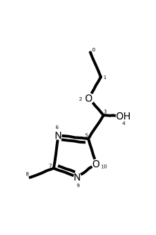 CCOC(O)c1nc(C)no1